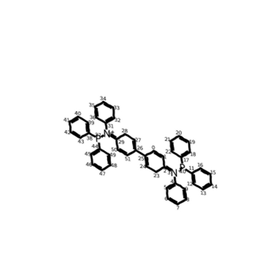 C1=CC(=[N+](c2ccccc2)P(c2ccccc2)c2ccccc2)CC=C1C1=CCC(=[N+](c2ccccc2)P(c2ccccc2)c2ccccc2)C=C1